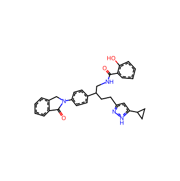 O=C(NCC(CCc1cc(C2CC2)[nH]n1)c1ccc(N2Cc3ccccc3C2=O)cc1)c1ccccc1O